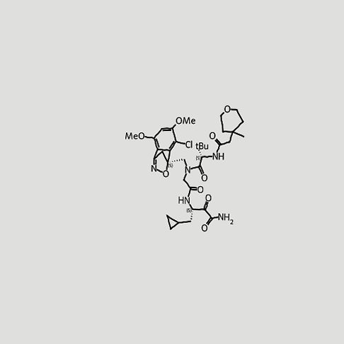 COc1cc(OC)c2c(c1Cl)[C@]1(CN(CC(=O)N[C@@H](CC3CC3)C(=O)C(N)=O)C(=O)[C@@H](NC(=O)CC3(C)CCOCC3)C(C)(C)C)CC2=NO1